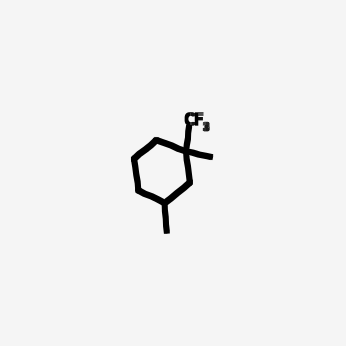 CC1CCCC(C)(C(F)(F)F)C1